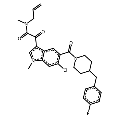 C=CCN(C)C(=O)C(=O)c1cn(C)c2cc(Cl)c(C(=O)N3CCC(Cc4ccc(F)cc4)CC3)cc12